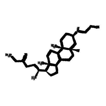 CCC(=O)CC[C@@H](C)[C@H]1CCC2C3CC[C@@H]4C[C@H](NCCO)CC[C@]4(C)C3CC[C@@]21C